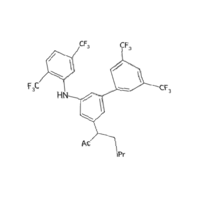 CC(=O)C(CC(C)C)c1cc(Nc2cc(C(F)(F)F)ccc2C(F)(F)F)cc(-c2cc(C(F)(F)F)cc(C(F)(F)F)c2)c1